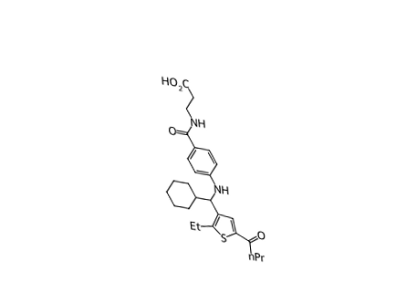 CCCC(=O)c1cc(C(Nc2ccc(C(=O)NCCC(=O)O)cc2)C2CCCCC2)c(CC)s1